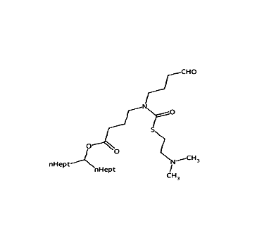 CCCCCCCC(CCCCCCC)OC(=O)CCCN(CCCC=O)C(=O)SCCN(C)C